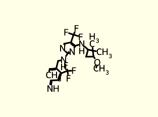 C/C=C(CNc1ncc(C(F)(F)F)c(NC2CC(OC)C2(C)C)n1)\C(=C/C=N)C(F)(F)F